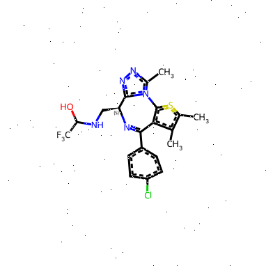 Cc1sc2c(c1C)C(c1ccc(Cl)cc1)=N[C@@H](CNC(O)C(F)(F)F)c1nnc(C)n1-2